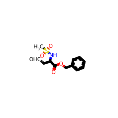 CS(=O)(=O)NC(CC=O)C(=O)OCc1ccccc1